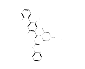 CC1CN(C(=O)O)CCN1/C(=N\C(=O)Nc1ccccc1C(F)(F)F)c1cc(Cl)c(-c2ccccc2F)cc1F